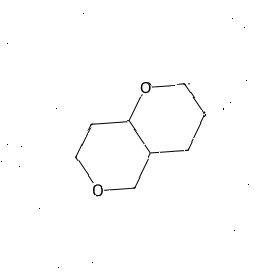 [CH]1CCC2COCCC2O1